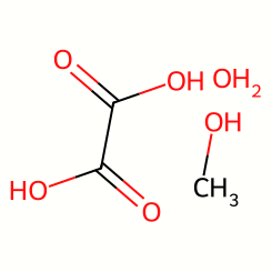 CO.O.O=C(O)C(=O)O